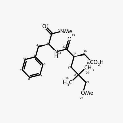 CNC(=O)[C@H](Cc1ccccc1)NC(=O)[C@@H](CC(=O)O)CC(C)(C)COC